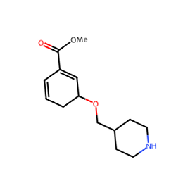 COC(=O)C1=CC(OCC2CCNCC2)CC=C1